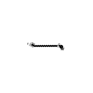 O=C(OCCCCCCCCCCCCCCCCCCCCCCC(F)(F)C(F)(F)C(F)(F)C(F)(F)F)C1=CC=C2N=NN=C2C1